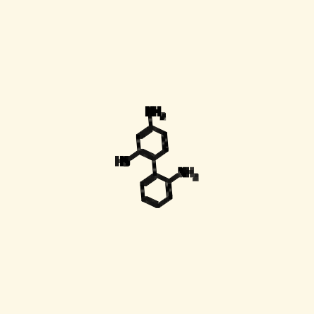 Nc1ccc(-c2ccccc2N)c(S)c1